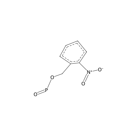 O=POCc1ccccc1[N+](=O)[O-]